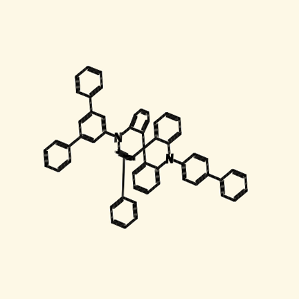 c1ccc(-c2ccc(N3c4ccccc4C4(c5ccccc53)c3ccccc3N(c3cc(-c5ccccc5)cc(-c5ccccc5)c3)c3ccc(-c5ccccc5)cc34)cc2)cc1